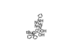 CC(C)(C)[Si](OC[C@H]1O[C@@H](n2cnc3c(NCc4ccccc4)ncnc32)[C@H](O)[C@@H]1O)(c1ccccc1)c1ccccc1